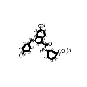 N#Cc1ccc2c(C(=O)Nc3cccc(C(=O)O)c3)cn(Cc3ccc(Cl)cc3)c2c1